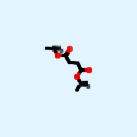 C[SiH2]OC(=O)CCC(=O)O[SiH2]C